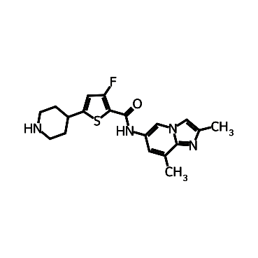 Cc1cn2cc(NC(=O)c3sc(C4CCNCC4)cc3F)cc(C)c2n1